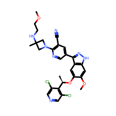 COCCNC1(C)CN(c2ncc(-c3n[nH]c4cc(OC)c(O[C@H](C)c5c(Cl)cncc5Cl)cc34)cc2C#N)C1